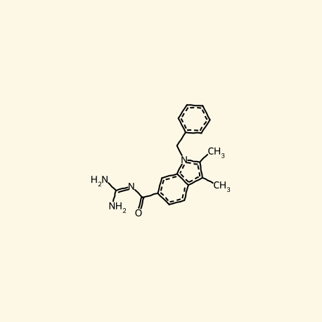 Cc1c(C)n(Cc2ccccc2)c2cc(C(=O)N=C(N)N)ccc12